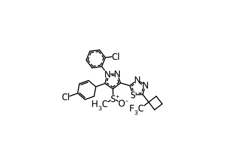 C[S+]([O-])c1c(-c2nnc(C3(C(F)(F)F)CCC3)s2)nn(-c2ccccc2Cl)c1C1C=CC(Cl)=CC1